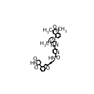 Cc1cc2c(N3CCN(C)c4nc(-c5ccc(C(=O)NCC#Cc6cc7c(C8CCC(=O)NC8=O)cccc7o6)nc5)ncc43)cccc2n(C)c1=O